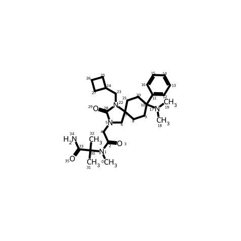 CN(C(=O)CN1CC2(CCC(c3ccccc3)(N(C)C)CC2)N(CC2CCC2)C1=O)C(C)(C)C(N)=O